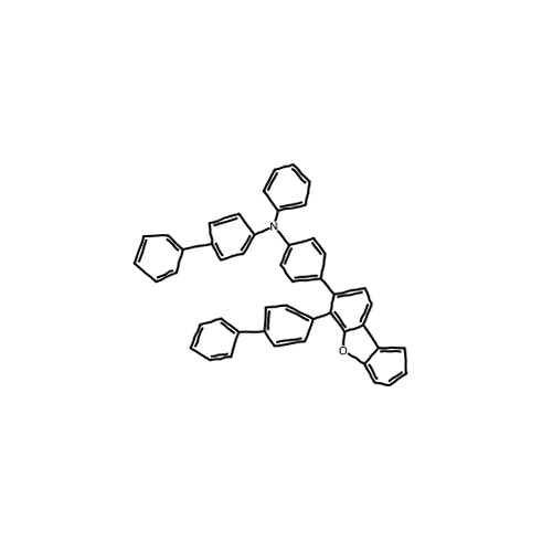 c1ccc(-c2ccc(-c3c(-c4ccc(N(c5ccccc5)c5ccc(-c6ccccc6)cc5)cc4)ccc4c3oc3ccccc34)cc2)cc1